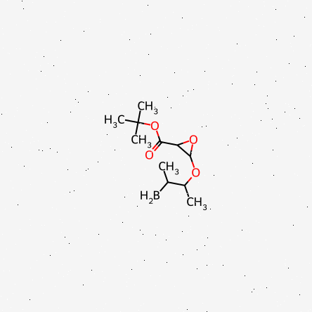 BC(C)C(C)OC1OC1C(=O)OC(C)(C)C